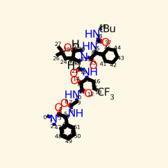 CN(C)C(=O)[C@@H](NC(=O)CNC(=O)C(=O)C(CCC(F)(F)F)NC(=O)[C@@H]1[C@H]2CC(C)(C)O[C@H]2CN1C(=O)[C@@H](NC(=O)NC(C)(C)C)C1CCCCC1)c1ccccc1